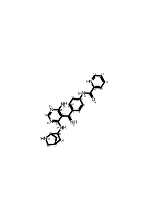 N=C(c1ccc(NC(=O)c2ccccn2)cc1)c1c(N)ncnc1NC1CC2CNC1C2